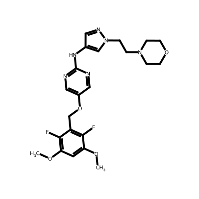 COc1cc(OC)c(F)c(COc2cnc(Nc3cnn(CCN4CCOCC4)c3)nc2)c1F